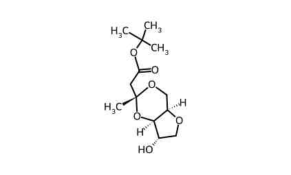 CC(C)(C)OC(=O)C[C@]1(C)OC[C@H]2OC[C@H](O)[C@H]2O1